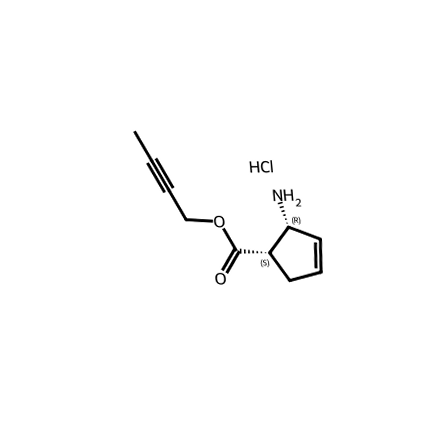 CC#CCOC(=O)[C@H]1CC=C[C@H]1N.Cl